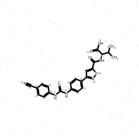 CC(C)[C@@H](NC(=O)c1cc(-c2ccc(NC(=O)Nc3ccc(C#N)cc3)cc2)no1)C(=O)O